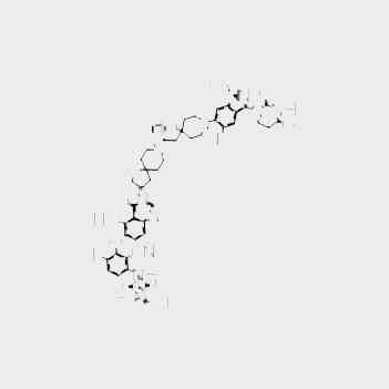 CCN(C)S(=O)(=O)Nc1ccc(F)c(Oc2ccc3ncn([C@H]4COC5(CCN(C(=O)CC6(O)CCN(c7cc8c(cc7F)c(N7CCC(=O)NC7=O)nn8C)CC6)CC5)C4)c(=O)c3c2O)c1C#N